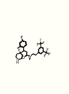 Cc1cc(F)ccc1C(CC(=O)N(C)CCc1cc(C(F)(F)F)cc(C(F)(F)F)c1)C1(F)CCNCC1